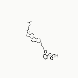 CC(C)CCC[C@@H](C)[C@H]1CCC2C3CC=C4CC(CCCCOc5ccccc5OC(=O)O)CC[C@]4(C)C3CC[C@@]21C